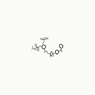 Cc1oc(-c2ccc(N(C)c3ccccc3)cc2)nc1CCOc1ccc(CCC(=O)O)c(CNC(=O)OC(C)C)c1